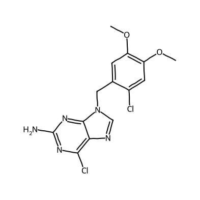 COc1cc(Cl)c(Cn2cnc3c(Cl)nc(N)nc32)cc1OC